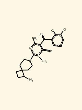 Cn1c(N2CCC3(CCC3N)CC2)nc(N)c(C(=N)c2cccc(Cl)c2Cl)c1=O